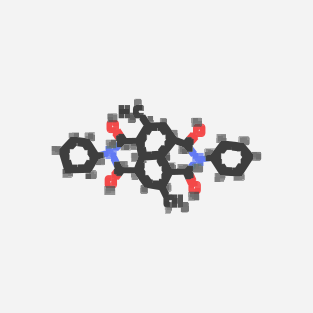 Cc1cc2c3c(c(C)cc4c3c1C(=O)N(c1ccccc1)C4=O)C(=O)N(c1ccccc1)C2=O